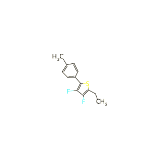 CCc1sc(-c2ccc(C)cc2)c(F)c1F